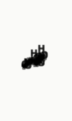 CN(C(=O)OC(C)(C)C)C1CCC(Nc2cccc3c2C(=O)N(C2CCC(=O)NC2=O)C3=O)CC1